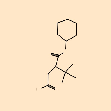 CC(C)(C)C(CC(=O)O)C(=O)OC1CCCCC1